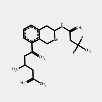 C=C(C)CC(C)CC(=C)c1cccc2c1CBC(NC(=C)CC(C)(F)F)C2